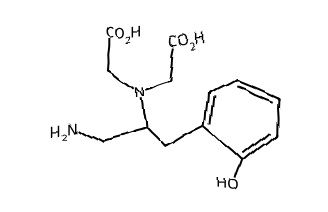 NCC(Cc1ccccc1O)N(CC(=O)O)CC(=O)O